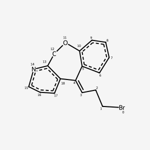 BrCC/C=C1\c2ccccc2OCc2ncccc21